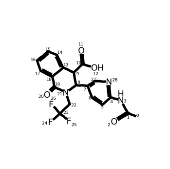 CC(=O)Nc1ccc(C2C(C(=O)O)c3ccccc3C(=O)N2CC(F)(F)F)cn1